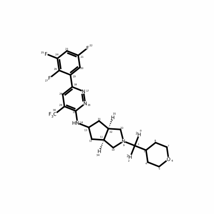 [2H]C([2H])(C1CCOCC1)N1C[C@H]2CC(Nc3nnc(-c4cc(F)cc(F)c4F)cc3C(F)(F)F)C[C@H]2C1